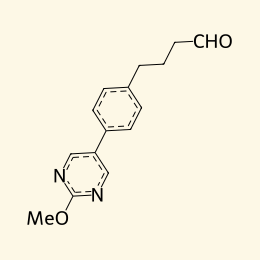 COc1ncc(-c2ccc(CCCC=O)cc2)cn1